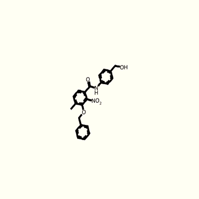 Cc1ccc(C(=O)Nc2ccc(CO)cc2)c([N+](=O)[O-])c1OCc1ccccc1